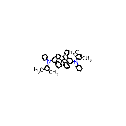 Cc1cc(C)cc(N(c2ccccc2)c2ccc3c4c(ccc3c2)-c2c(c3ccc(N(c5ccccc5)c5cc(C)cc(C)c5)cc3c3ccccc23)C4(c2ccccc2)c2ccccc2)c1